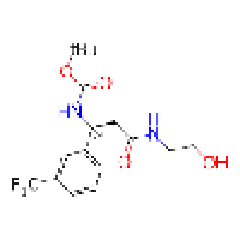 CC(C)(C)OC(=O)N[C@@H](CC(=O)NCCO)c1cccc(C(F)(F)F)c1